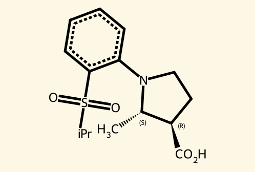 CC(C)S(=O)(=O)c1ccccc1N1CC[C@@H](C(=O)O)[C@@H]1C